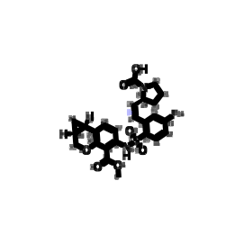 COC(=O)c1c(NS(=O)(=O)c2ccc(F)cc2/C=C\[C@@H]2CCCN2C(=O)O)ccc2c1OC[C@@H]1C[C@H]21